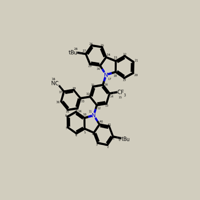 CC(C)(C)c1ccc2c3ccccc3n(-c3cc(C(F)(F)F)c(-n4c5ccccc5c5ccc(C(C)(C)C)cc54)cc3-c3cccc(C#N)c3)c2c1